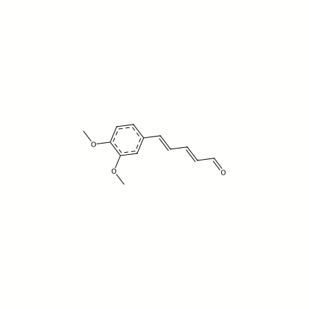 COc1ccc(C=CC=CC=O)cc1OC